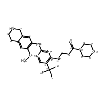 COc1cc2c(cc1Nc1ncc(C(F)(F)F)c(NCCC(=O)N3CCOCC3)n1)CNCC2